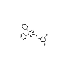 Fc1cc(F)cc(CCC2=N[C@@H](c3ccccc3)[C@@H](c3ccccc3)N2)c1